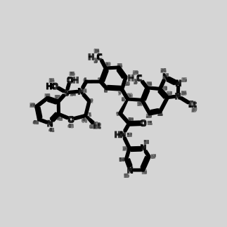 CC[C@@H]1CN(Cc2cc([C@H](CC(=O)Nc3cnccn3)c3ccc4c(nnn4CC)c3C)ccc2C)S(O)(O)c2cccnc2O1